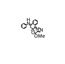 COC(=O)c1cncn1[C@H]1c2ccccc2[C@@H](Nc2ccccc2)CC1(C)C